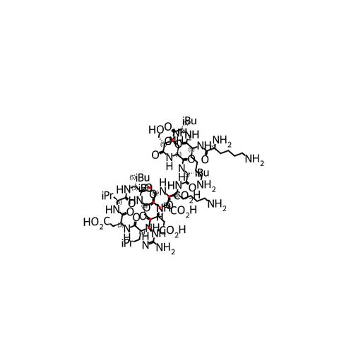 CC[C@H](C)[C@H](NC(=O)[C@H](CCCCN)NC(=O)[C@@H](NC(=O)[C@H](CC(N)=O)NC(=O)[C@H](CO)NC(=O)[C@@H](NC(=O)[C@H](CCCCN)NC(=O)[C@@H](N)CCCCN)[C@@H](C)CC)[C@@H](C)CC)C(=O)N[C@@H](CC(=O)O)C(=O)N[C@@H](CC(C)C)C(=O)N[C@@H](CC(=O)O)C(=O)N[C@H](C(=O)N[C@H](C(=O)N[C@@H](CCCNC(=N)N)C(=O)N[C@@H](CC(=O)O)C(=O)O)[C@@H](C)CC)C(C)C